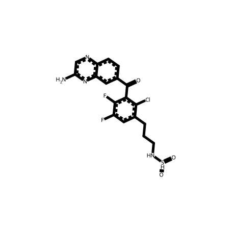 Nc1cnc2ccc(C(=O)c3c(F)c(F)cc(CCCN[SH](=O)=O)c3Cl)cc2n1